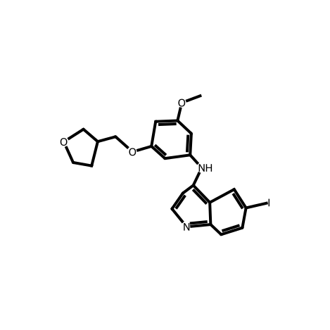 COc1cc(Nc2ccnc3ccc(I)cc23)cc(OCC2CCOC2)c1